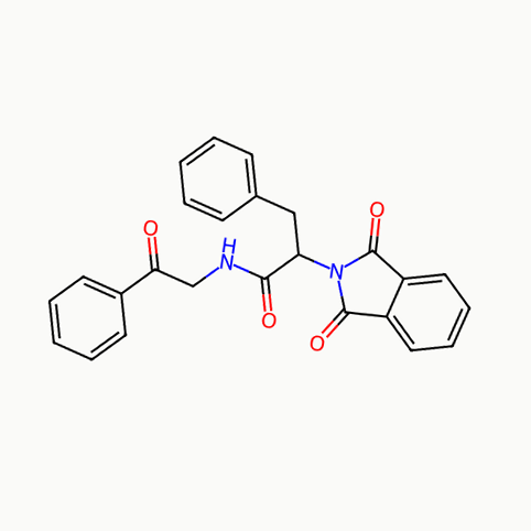 O=C(CNC(=O)C(Cc1ccccc1)N1C(=O)c2ccccc2C1=O)c1ccccc1